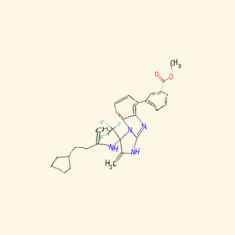 C=C(CCC1CCCC1)NC1(C(F)(F)F)C(=C)Nc2nc3c(-c4cccc(C(=O)OC)c4)cccc3n21